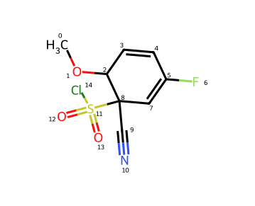 COC1C=CC(F)=CC1(C#N)S(=O)(=O)Cl